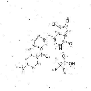 CNC1CCN(C(=O)c2cc(Cc3c[nH]c(=O)c4cc(Cl)c(Cl)n34)ccc2F)CC1.O=C(O)C(F)(F)F